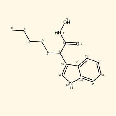 CCCCCC(C(=O)NO)c1c[nH]c2ccccc12